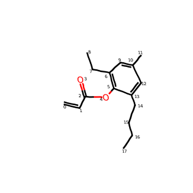 C=CC(=O)Oc1c(CC)cc(C)cc1CCCC